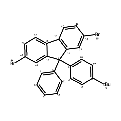 CC(C)(C)c1ccc(C2(c3ccccc3)c3cc(Br)ccc3-c3ccc(Br)cc32)cc1